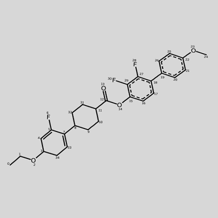 CCOC1C=C(F)C(C2CCC(C(=O)Oc3ccc(-c4ccc(OC)cc4)c(F)c3F)CC2)=CC1